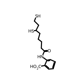 O=C(CCCCC(S)CCS)Nc1ccccc1C(=O)O